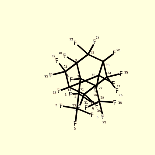 FC(F)(F)C(F)(F)C1(F)C2(F)C(F)(F)C3(F)C(F)(F)C(F)(C2(F)F)C(F)(F)C1(C(F)(F)F)C3(F)F